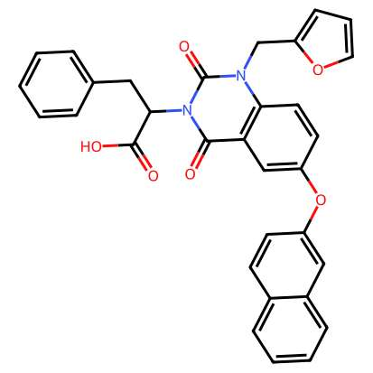 O=C(O)C(Cc1ccccc1)n1c(=O)c2cc(Oc3ccc4ccccc4c3)ccc2n(Cc2ccco2)c1=O